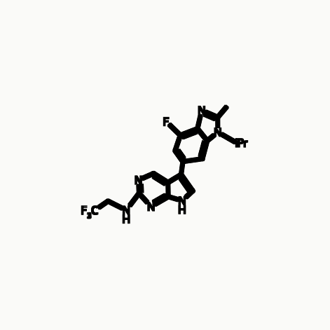 Cc1nc2c(F)cc(-c3c[nH]c4nc(NCC(F)(F)F)ncc34)cc2n1C(C)C